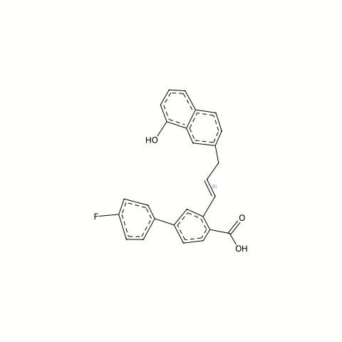 O=C(O)c1ccc(-c2ccc(F)cc2)cc1/C=C/Cc1ccc2cccc(O)c2c1